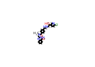 CN(Cc1nc2ccccc2c(=O)[nH]1)C(=O)c1ccc(CCNC[C@H](O)c2ccc(Cl)nc2)cc1